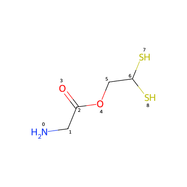 NCC(=O)OCC(S)S